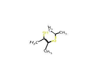 CC(C)SC(C)C(C)S